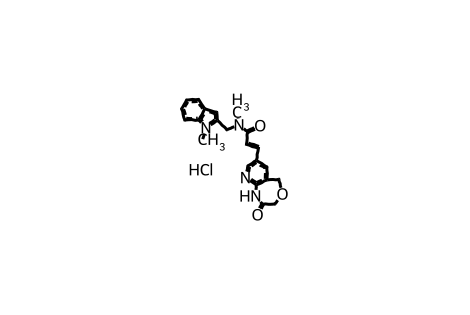 CN(Cc1cc2ccccc2n1C)C(=O)/C=C/c1cnc2c(c1)COCC(=O)N2.Cl